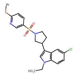 CC(C)Sc1ccc(S(=O)(=O)N2CCC(c3cn(CC(=O)O)c4ccc(Cl)cc34)C2)cn1